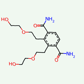 NC(=O)c1ccc(C(N)=O)c(CCOCCO)c1CCOCCO